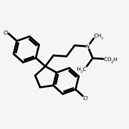 CC(C(=O)O)N(C)CCCC1(c2ccc(Cl)cc2)CCc2cc(Cl)ccc21